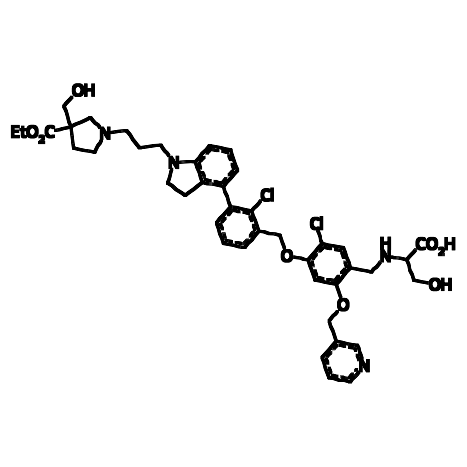 CCOC(=O)C1(CO)CCN(CCCN2CCc3c(-c4cccc(COc5cc(OCc6cccnc6)c(CNC(CO)C(=O)O)cc5Cl)c4Cl)cccc32)C1